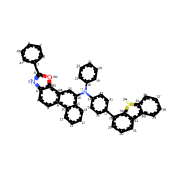 c1ccc(-c2nc3ccc4c5ccccc5c(N(c5ccccc5)c5ccc(-c6cccc7c6sc6ccccc67)cc5)cc4c3o2)cc1